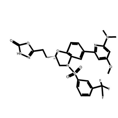 COc1cc(-c2ccc3c(c2)N(S(=O)(=O)c2cccc(C(F)(F)F)c2)C[C@H](CCc2n[nH]c(=O)o2)O3)nc(N(C)C)c1